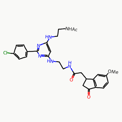 COc1ccc2c(c1)C(CC(=O)NCCNc1cc(NCCNC(C)=O)nc(-c3ccc(Cl)cc3)n1)CC2=O